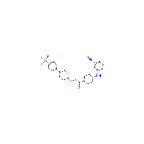 N#Cc1cccc(NC2CCN(C(=O)CCN3CCN(c4ccc(C(F)(F)F)cc4)CC3)CC2)c1